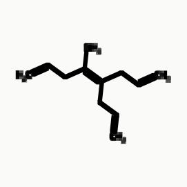 C=CCC([SiH3])=C(CC=C)CC=C